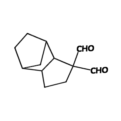 O=CC1(C=O)CCC2C3CCC(C3)C21